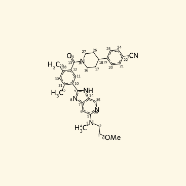 COCCN(C)c1cc2nc(-c3cc(C(=O)N4CCC(c5ccc(C#N)cc5)CC4)c(C)cc3C)[nH]c2cn1